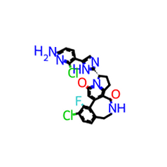 Nc1ccc(-c2cnc([C@@H]3CCc4c5c(cc(=O)n43)-c3c(ccc(Cl)c3F)CCNC5=O)[nH]2)c(Cl)n1